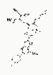 C#CC(=C=C)\C(=C/C=C(C)/C(=C/CCC=C)CC(C)(C)CC(=O)c1cc2nc(C3CCC(C)(C)CC3)cc(C(C)(C)C)c2o1)C(=O)O